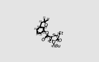 CCCCOC(=O)N(CC)SN(CC)C(=O)Oc1cccc2c1OC(C)(C)C2